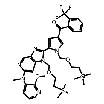 COc1ncccc1N(C)c1cc2c(cn1)nc(-c1cc(C(=O)c3ccccc3C(F)(F)F)cn1COCC[Si](C)(C)C)n2COCC[Si](C)(C)C